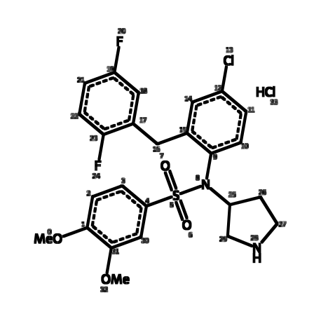 COc1ccc(S(=O)(=O)N(c2ccc(Cl)cc2Cc2cc(F)ccc2F)C2CCNC2)cc1OC.Cl